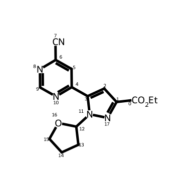 CCOC(=O)c1cc(-c2cc(C#N)ncn2)n(C2CCCO2)n1